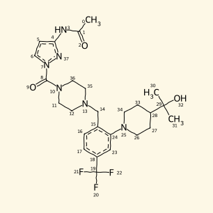 CC(=O)Nc1ccn(C(=O)N2CCN(Cc3ccc(C(F)(F)F)cc3N3CCC(C(C)(C)O)CC3)CC2)n1